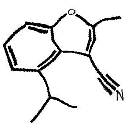 Cc1oc2cccc(C(C)C)c2c1C#N